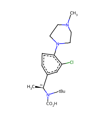 C[C@@H](c1ccc(N2CCN(C)CC2)c(Cl)c1)N(C(=O)O)C(C)(C)C